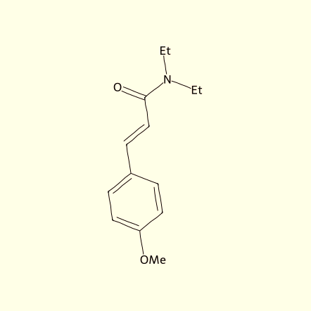 CCN(CC)C(=O)C=Cc1ccc(OC)cc1